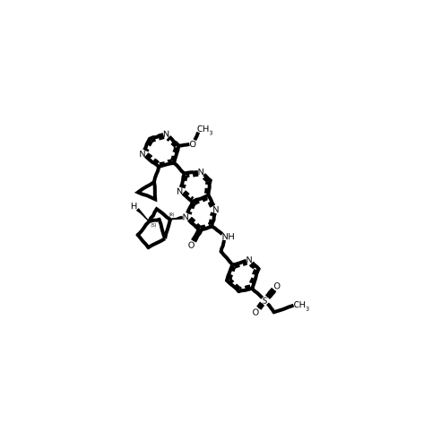 CCS(=O)(=O)c1ccc(CNc2nc3cnc(-c4c(OC)ncnc4C4CC4)nc3n([C@@H]3C[C@H]4CCC3C4)c2=O)nc1